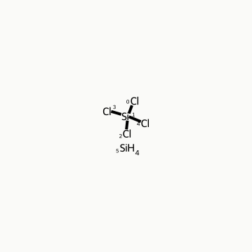 Cl[Si](Cl)(Cl)Cl.[SiH4]